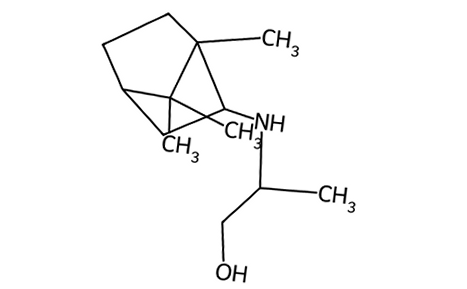 CC(CO)NC1CC2CCC1(C)C2(C)C